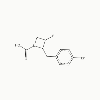 O=C(O)N1CC(F)C1Cc1ccc(Br)cc1